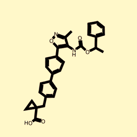 Cc1noc(-c2ccc(-c3ccc(CC4(C(=O)O)CC4)cc3)cc2)c1NC(=O)OC(C)c1ccccc1